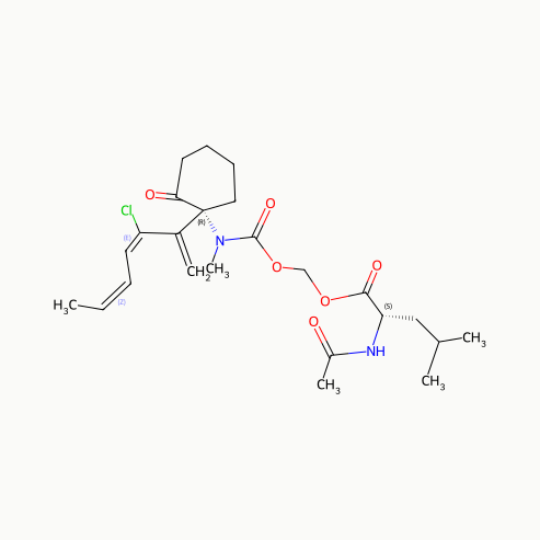 C=C(/C(Cl)=C\C=C/C)[C@]1(N(C)C(=O)OCOC(=O)[C@H](CC(C)C)NC(C)=O)CCCCC1=O